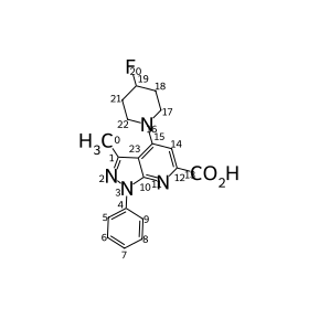 Cc1nn(-c2ccccc2)c2nc(C(=O)O)cc(N3CCC(F)CC3)c12